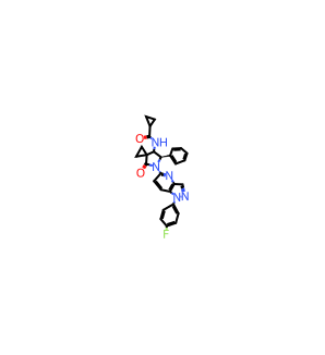 O=C(NC1[C@@H](c2ccccc2)N(c2ccc3c(cnn3-c3ccc(F)cc3)n2)C(=O)C12CC2)C1CC1